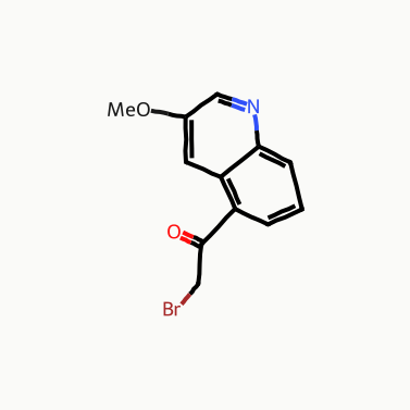 COc1cnc2cccc(C(=O)CBr)c2c1